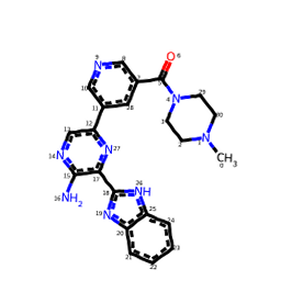 CN1CCN(C(=O)c2cncc(-c3cnc(N)c(-c4nc5ccccc5[nH]4)n3)c2)CC1